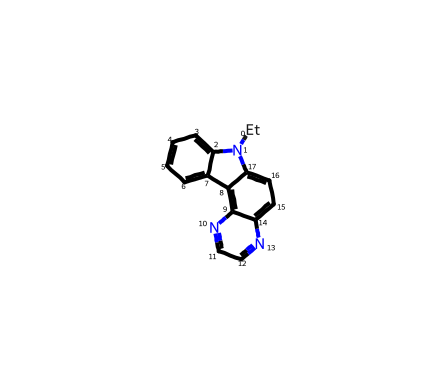 CCn1c2ccccc2c2c3nccnc3ccc21